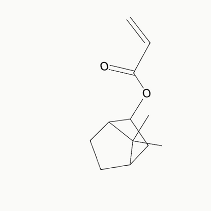 C=CC(=O)OC1CC2CCC1C2(C)C